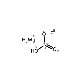 O=[N+]([O-])O.[La].[MgH2]